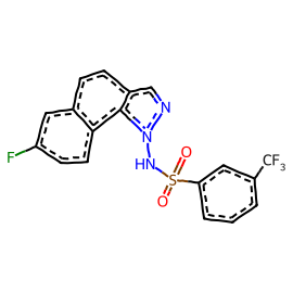 O=S(=O)(Nn1ncc2ccc3cc(F)ccc3c21)c1cccc(C(F)(F)F)c1